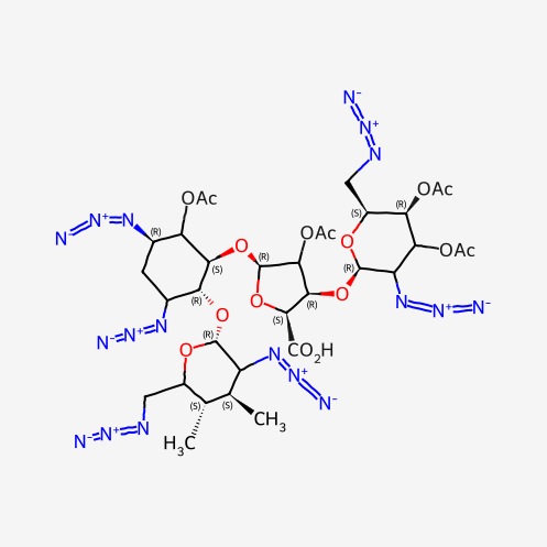 CC(=O)OC1[C@H](O[C@@H]2C(OC(C)=O)[C@H](N=[N+]=[N-])CC(N=[N+]=[N-])[C@H]2O[C@H]2OC(CN=[N+]=[N-])[C@@H](C)[C@H](C)C2N=[N+]=[N-])O[C@H](C(=O)O)[C@@H]1O[C@H]1O[C@@H](CN=[N+]=[N-])[C@@H](OC(C)=O)C(OC(C)=O)C1N=[N+]=[N-]